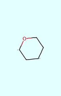 [CH]1C[CH]OCC1